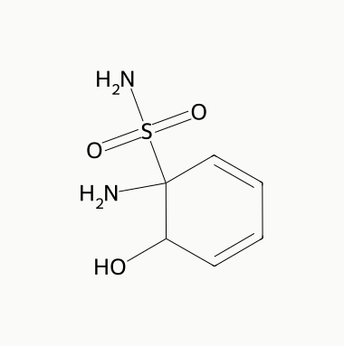 NC1(S(N)(=O)=O)C=CC=CC1O